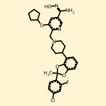 CC1(c2ccc(Cl)cc2F)Oc2cccc(C3CCN(Cc4ncc(/C(N)=N\O)cc4OC4CCCC4)CC3)c2O1